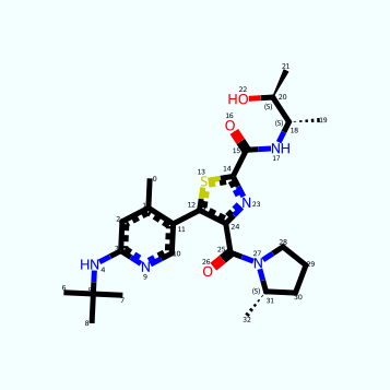 Cc1cc(NC(C)(C)C)ncc1-c1sc(C(=O)N[C@@H](C)[C@H](C)O)nc1C(=O)N1CCC[C@@H]1C